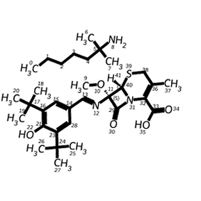 CCCCCC(C)(C)N.CO[C@@]1(N=Cc2cc(C(C)(C)C)c(O)c(C(C)(C)C)c2)C(=O)N2C(C(=O)O)=C(C)CS[C@H]21